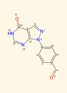 O=Cc1ccc(-n2ncc3c(=O)[nH]cnc32)cc1